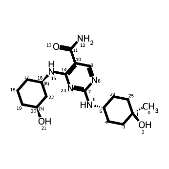 C[C@]1(O)CC[C@H](Nc2ncc(C(N)=O)c(N[C@@H]3CCC[C@H](O)C3)n2)CC1